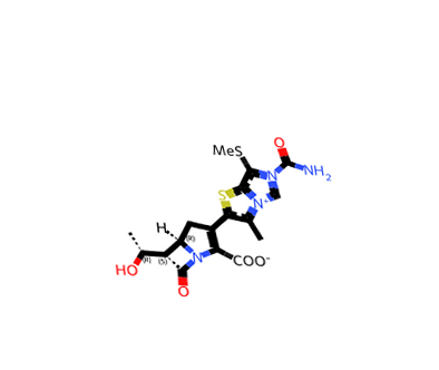 CSc1c2sc(C3=C(C(=O)[O-])N4C(=O)[C@H]([C@@H](C)O)[C@H]4C3)c(C)[n+]2cn1C(N)=O